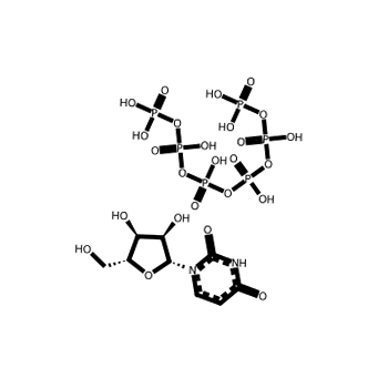 O=P(O)(O)OP(=O)(O)OP(=O)(O)OP(=O)(O)OP(=O)(O)OP(=O)(O)O.O=c1ccn([C@@H]2O[C@H](CO)[C@@H](O)[C@H]2O)c(=O)[nH]1